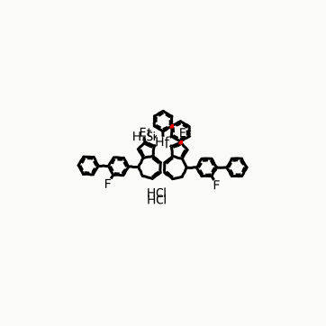 CCC1=[C]([Hf](=[SiH2])([C]2=C(CC)C=C3C2=CC=CCC3c2ccc(-c3ccccc3)c(F)c2)([c]2ccccc2)[c]2ccccc2)C2=CC=CCC(c3ccc(-c4ccccc4)c(F)c3)C2=C1.Cl.Cl